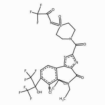 CCN(CC)C(=O)c1nc(C(=O)N2CCS(=O)(=NC(=O)C(F)(F)F)CC2)sc1-c1ccc(C(O)(C(F)(F)F)C(F)(F)F)c(Cl)c1Cl